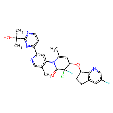 CC1=CC(OC2CCc3cc(F)cnc32)C(F)(Cl)C(=O)N1c1cc(-c2ccnc(C(C)(C)O)n2)ncc1C